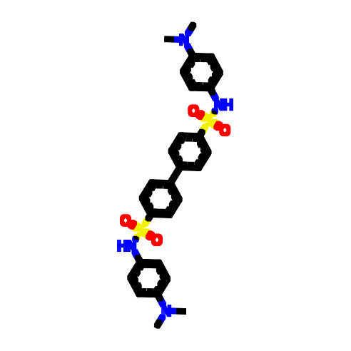 CN(C)c1ccc(NS(=O)(=O)c2ccc(-c3ccc(S(=O)(=O)Nc4ccc(N(C)C)cc4)cc3)cc2)cc1